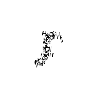 CC(C)(C)OC(=O)N1CC[C@H](c2ccc(NC(=O)OC3CCC(F)(F)CC3)cc2)C1